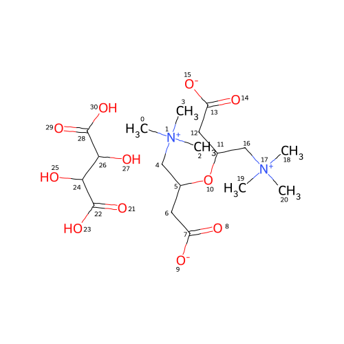 C[N+](C)(C)CC(CC(=O)[O-])OC(CC(=O)[O-])C[N+](C)(C)C.O=C(O)C(O)C(O)C(=O)O